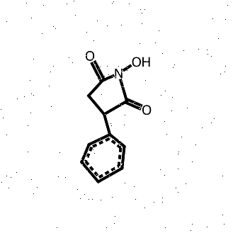 O=C1CC(c2ccccc2)C(=O)N1O